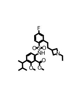 CCN1CC(CCc2cc(F)ccc2S(=O)(=O)Nc2ccc(C(C)C(C)C)c(OC)c2C(=O)OC)C1